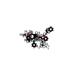 CO[C@H]1C(=O)[C@]2(C)[C@@H](OC)C[C@H]3OC[C@@]3(OC(C)=O)[C@H]2[C@H](OC(=O)c2ccccc2)[C@]2(O)C[C@H](OC(=O)[C@H](OC(=O)OC[C@H]3COC4(CCCCC4)O3)[C@@H](NC(=O)OC(C)(C)C)c3ccccc3)C(C)=C1C2(C)C